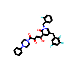 O=C(C=C(O)c1cc(Cc2cc(F)cc(F)c2F)cn(Cc2ccccc2F)c1=O)C(=O)N1CCN(c2ccccc2)CC1